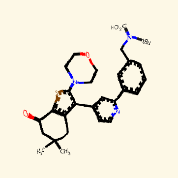 CC1(C)CC(=O)c2sc(N3CCOCC3)c(-c3ccnc(-c4cccc(CN(C(=O)O)C(C)(C)C)c4)c3)c2C1